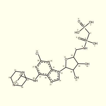 O=P(O)(O)CP(=O)(O)NCC1OC(n2cnc3c(NC4CN5CCN4CC5)nc(Cl)nc32)C(O)C1O